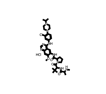 CNC(C)C(=O)NC(C(=O)N1CCCC1C(=O)Nc1cc2c(Nc3ccc(N4CCN(C(C)C)CC4)c(Cl)c3)ncnc2cc1OC)C(C)(C)C.Cl